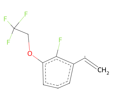 C=[C]c1cccc(OCC(F)(F)F)c1F